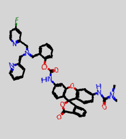 CN(C)C(=O)Nc1ccc2c(c1)Oc1cc(NC(=O)Oc3ccccc3CN(Cc3ccccn3)Cc3cc(F)ccn3)ccc1C21OC(=O)c2ccccc21